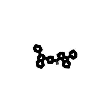 c1ccc(-c2cc(-c3ccc(Nc4cccc5c4c4ccccc4n5-c4ccccc4)cc3)c3ccccc3c2)cc1